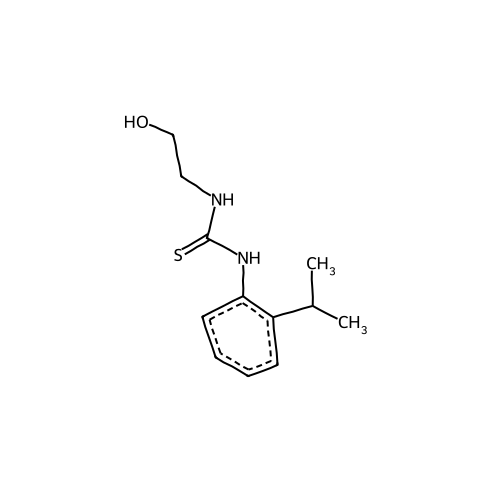 CC(C)c1ccccc1NC(=S)NCCO